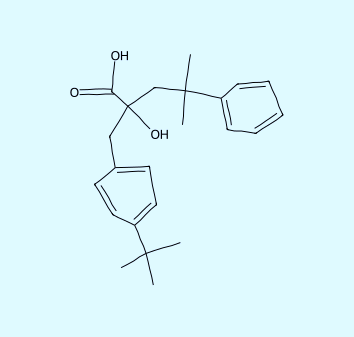 CC(C)(C)c1ccc(CC(O)(CC(C)(C)c2ccccc2)C(=O)O)cc1